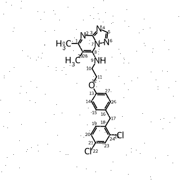 Cc1nc2ncnn2c(NCCOc2ccc(Cc3ccc(Cl)cc3Cl)cc2)c1C